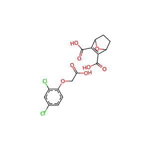 O=C(O)C1=C(C(=O)O)C2CCC1O2.O=C(O)COc1ccc(Cl)cc1Cl